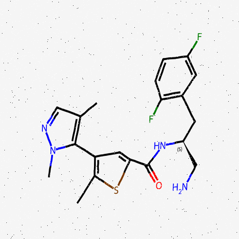 Cc1cnn(C)c1-c1cc(C(=O)N[C@H](CN)Cc2cc(F)ccc2F)sc1C